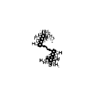 CN(C)[C@H]1C(O)=C(C(N)=O)C(=O)[C@]2(O)C(O)=C3C(=O)c4c(O)ccc(C#CCCC#Cc5ccc(O)c6c5C[C@@H]5C[C@@H]7[C@@H](N(C)C)C(O)=C(C(N)=O)C(=O)[C@]7(O)C(O)=C5C6=O)c4C[C@@H]3C[C@H]12